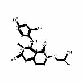 C[C@H](O)CON1CCc2cc(=O)n(C)c(Nc3ccc(Br)cc3F)c2C1=O